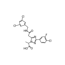 CC(C(=O)O)n1nc(-c2ccc(Cl)c(F)c2)nc1CC(=O)NCc1cc(Cl)cc(Cl)c1